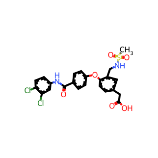 CS(=O)(=O)NCc1cc(CC(=O)O)ccc1Oc1ccc(C(=O)Nc2ccc(Cl)c(Cl)c2)cc1